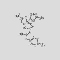 CC(CC(=O)OC1CN(C)C[N+]1([O-])c1nnc(C(C)(C)C)s1)Sc1ccc(C(F)(F)F)cc1